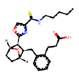 CCCCCNC(=S)c1coc([C@H]2[C@@H](Cc3ccccc3CCC(=O)O)[C@@H]3CC[C@H]2O3)n1